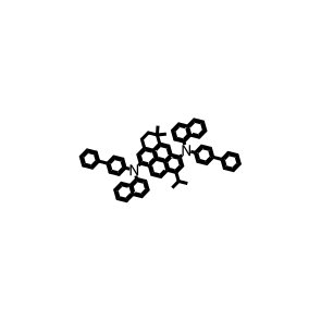 CC(C)c1cc(N(c2ccc(-c3ccccc3)cc2)c2cccc3ccccc23)c2cc3c4c(cc(N(c5ccc(-c6ccccc6)cc5)c5cccc6ccccc56)c5ccc1c2c54)CCC3(C)C